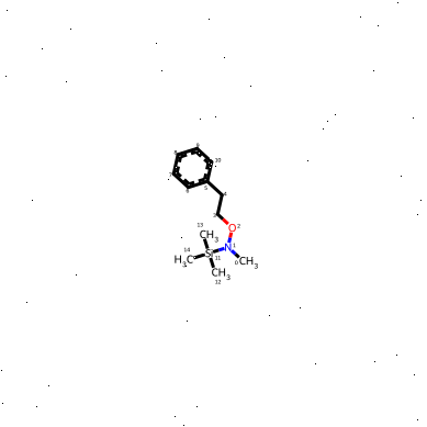 CN(OCCc1ccccc1)[Si](C)(C)C